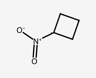 O=[N+]([O-])[C]1CCC1